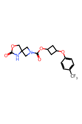 O=C1NC2(CO1)CN(C(=O)OC1CC(Oc3ccc(C(F)(F)F)cc3)C1)C2